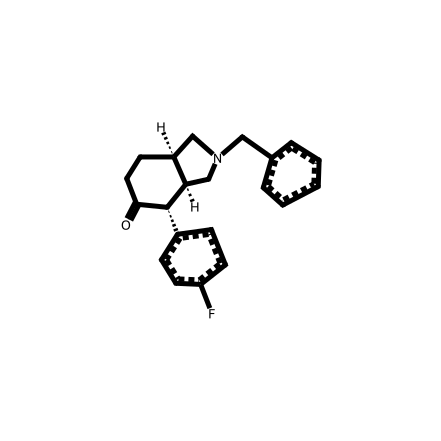 O=C1CC[C@H]2CN(Cc3ccccc3)C[C@H]2[C@@H]1c1ccc(F)cc1